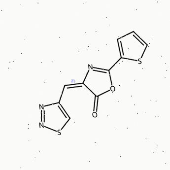 O=C1OC(c2cccs2)=N/C1=C/c1csnn1